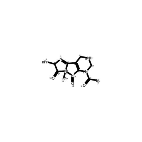 CCCC1N=C2C3=C(N(C(=O)CC)CNC3)[N+](=O)[N+]2(CCC)C1=O